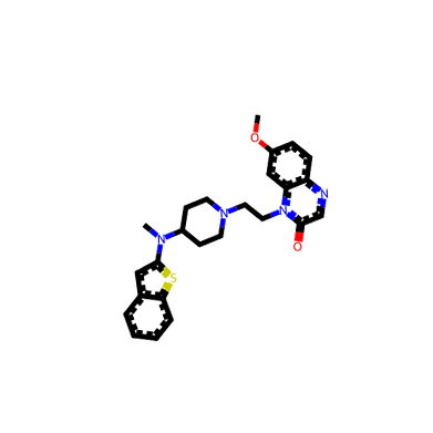 COc1ccc2ncc(=O)n(CCN3CCC(N(C)c4cc5ccccc5s4)CC3)c2c1